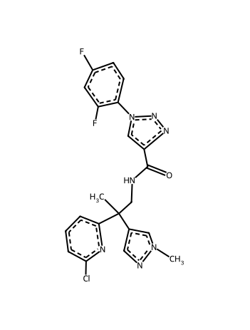 Cn1cc(C(C)(CNC(=O)c2cn(-c3ccc(F)cc3F)nn2)c2cccc(Cl)n2)cn1